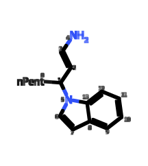 CCCCCC(/C=C/N)n1ccc2ccccc21